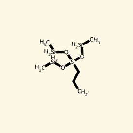 [CH2]CC[Si](O[SiH2]C)(O[SiH2]C)O[SiH2]C